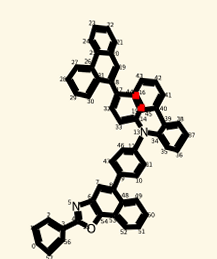 c1ccc(-c2nc3cc(-c4ccc(N(c5ccc(-c6cc7ccccc7c7ccccc67)cc5)c5ccccc5-c5ccccc5)cc4)c4ccccc4c3o2)cc1